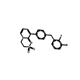 O=S1(=O)CCN2C=CC=C(c3ccc(Cc4cccc(F)c4F)cc3)C2=N1